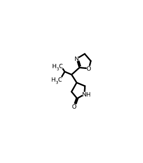 CC(C)C(C1=NCCO1)C1CNC(=O)C1